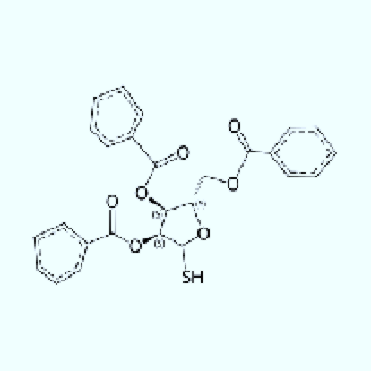 O=C(OC[C@@H]1OC(S)[C@@H](OC(=O)c2ccccc2)[C@H]1OC(=O)c1ccccc1)c1ccccc1